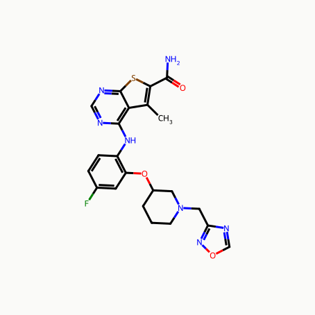 Cc1c(C(N)=O)sc2ncnc(Nc3ccc(F)cc3OC3CCCN(Cc4ncon4)C3)c12